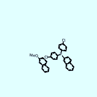 COc1[c]c2ccccc2cc1.Clc1ccc(P(c2[c]c3ccccc3cc2)c2ccc(Cl)cc2)cc1